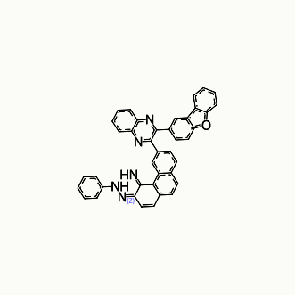 N=C1/C(=N\Nc2ccccc2)C=Cc2ccc3ccc(-c4nc5ccccc5nc4-c4ccc5oc6ccccc6c5c4)cc3c21